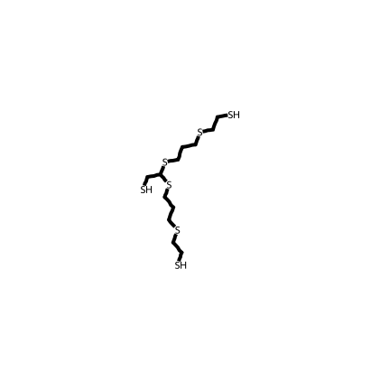 SCCSCCCSC(CS)SCCCSCCS